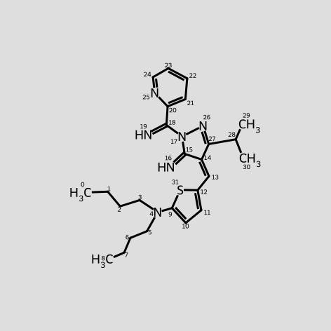 CCCCN(CCCC)c1ccc(/C=C2\C(=N)N(C(=N)c3ccccn3)N=C2C(C)C)s1